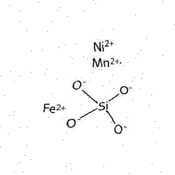 [Fe+2].[Mn+2].[Ni+2].[O-][Si]([O-])([O-])[O-]